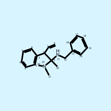 C=CC(c1ccccc1)C(C)(NCc1ccccc1)N(C)C